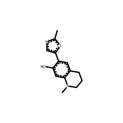 Cc1ncc(-c2cc3c(cc2C#N)N(C)CCC3)s1